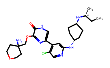 COC[C@@H](C)N[C@H]1CC[C@H](Nc2cc(-c3c[nH]c(=O)c(OCC4(N)CCOCC4)n3)c(Cl)cn2)CC1